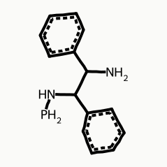 NC(c1ccccc1)C(NP)c1ccccc1